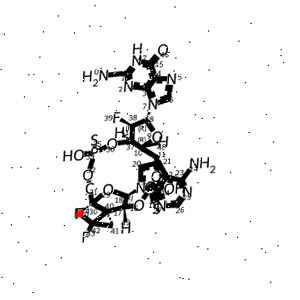 Nc1nc2c(ncn2[C@@H]2O[C@@H]3COP(O)(=S)O[C@H]4[C@H](n5ccc6c(N)ncnc65)O[C@H](COP(O)(=S)O[C@H]3[C@H]2F)[C@@]42CC2(F)F)c(=O)[nH]1